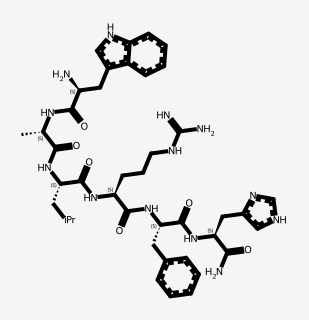 CC(C)C[C@H](NC(=O)[C@H](C)NC(=O)[C@@H](N)Cc1c[nH]c2ccccc12)C(=O)N[C@@H](CCCNC(=N)N)C(=O)N[C@@H](Cc1ccccc1)C(=O)N[C@@H](Cc1c[nH]cn1)C(N)=O